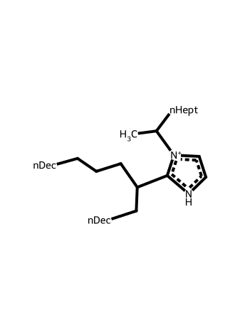 CCCCCCCCCCCCCC(CCCCCCCCCCC)c1[nH]cc[n+]1C(C)CCCCCCC